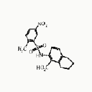 Cc1ccc([N+](=O)[O-])cc1S(=O)(=O)Nc1ccc2c(c1C(=O)O)CCCC2